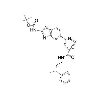 CC(CCNC(=O)c1ccnc(-c2ccn3nc(NC(=O)OC(C)(C)C)nc3c2)c1)c1ccccc1